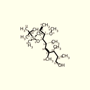 C=C[C@H](OC)[C@@H](O[Si](C)(C)C(C)(C)C)[C@H](C)/C=C(/C)[C@H](C)[C@H](C)CO